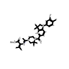 COC(=O)C(/N=C(\C)N1CCN(C(=O)c2ccc3c(n2)C(C)(C)CN3c2ccc(C)c(F)c2)C(C)(C)C1)=C(C)C